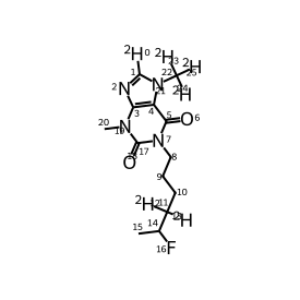 [2H]c1nc2c(c(=O)n(CCCC([2H])([2H])C(C)F)c(=O)n2C)n1C([2H])([2H])[2H]